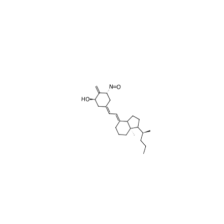 C=C1[C@H](O)C/C(=C/C=C2\CCC[C@@]3(C)C2CCC3[C@@H](C)CCC)C[C@H]1N=O